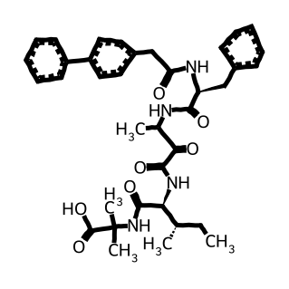 CC[C@H](C)[C@H](NC(=O)C(=O)C(C)NC(=O)[C@H](Cc1ccccc1)NC(=O)Cc1ccc(-c2ccccc2)cc1)C(=O)NC(C)(C)C(=O)O